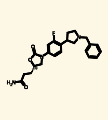 NC(=O)CC[C@H]1CN(c2ccc(C3CCN(Cc4ccccc4)C3)c(F)c2)C(=O)O1